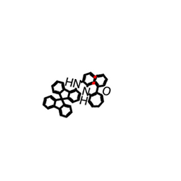 C1=CC(Nc2ccccc2Nc2cccc3c2-c2ccccc2C32c3ccccc3-c3ccccc32)=c2c(oc3ccccc23)=CC1